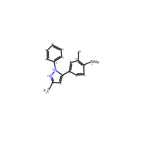 CNc1ccc(-c2cc(C(F)(F)F)nn2-c2ccccc2)cc1C